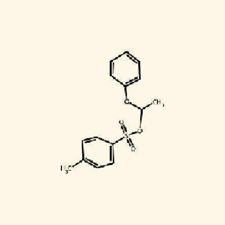 Cc1ccc(S(=O)(=O)OC(C)Oc2ccccc2)cc1